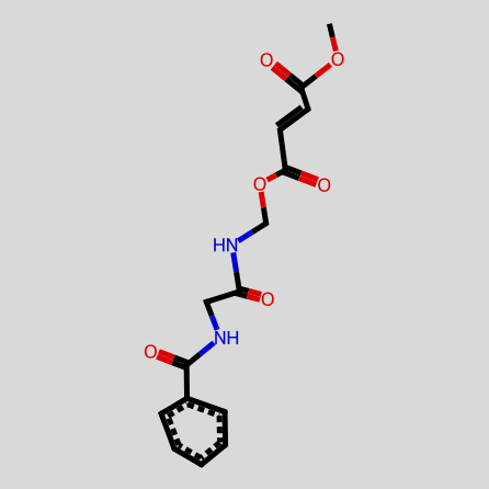 COC(=O)/C=C/C(=O)OCNC(=O)CNC(=O)c1ccccc1